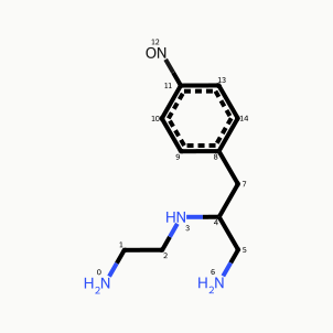 NCCNC(CN)Cc1ccc(N=O)cc1